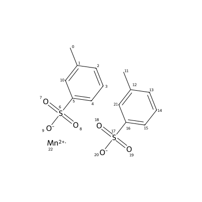 Cc1cccc(S(=O)(=O)[O-])c1.Cc1cccc(S(=O)(=O)[O-])c1.[Mn+2]